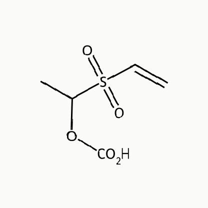 C=CS(=O)(=O)C(C)OC(=O)O